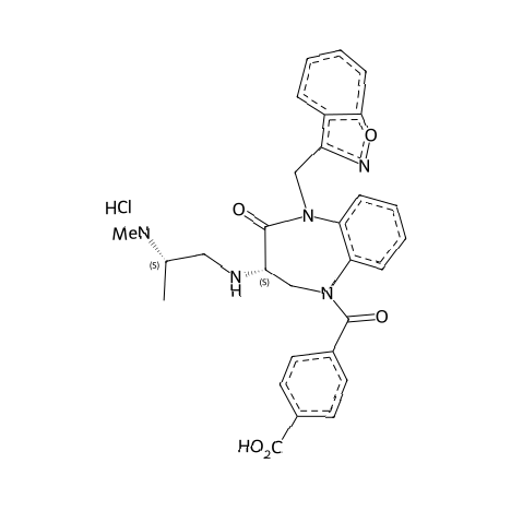 CN[C@@H](C)CN[C@H]1CN(C(=O)c2ccc(C(=O)O)cc2)c2ccccc2N(Cc2noc3ccccc23)C1=O.Cl